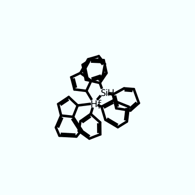 C1=C[CH]([Hf]([c]2ccccc2)([c]2ccccc2)([CH]2C=Cc3ccccc32)[SiH](c2ccccc2)c2ccccc2)c2ccccc21